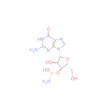 Nc1nc2c(ncn2[C@@H]2O[C@H](CO)[C@@H](OP(N)O)[C@H]2O)c(=O)[nH]1